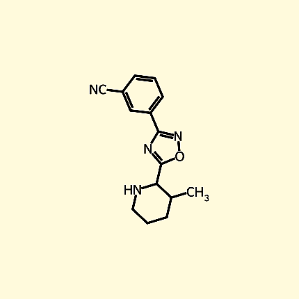 CC1CCCNC1c1nc(-c2cccc(C#N)c2)no1